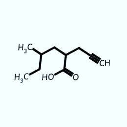 C#CCC(CC(C)CC)C(=O)O